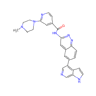 CN1CCN(c2cc(C(=O)Nc3cc4cc(-c5cncc6[nH]ccc56)ccc4nn3)ccn2)CC1